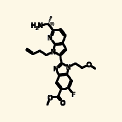 C=CCCn1c(-c2nc3cc(C(=O)OC)c(F)cc3n2CCOC)cc2ccc([C@@H](C)N)nc21